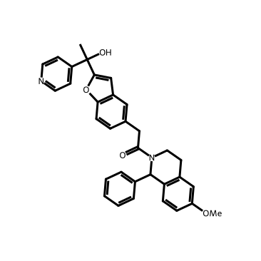 COc1ccc2c(c1)CCN(C(=O)Cc1ccc3oc(C(C)(O)c4ccncc4)cc3c1)C2c1ccccc1